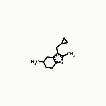 Cc1sc2c(c1CC1CC1)CC(C)CC2